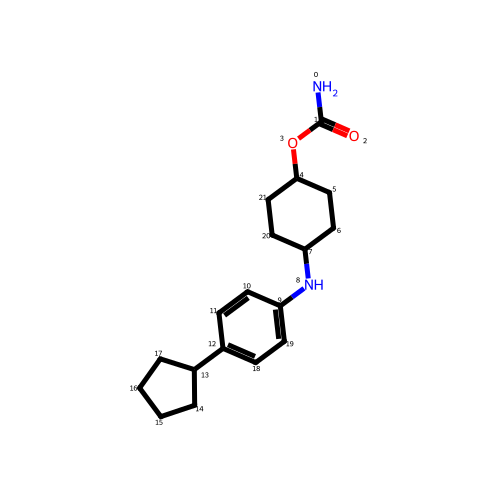 NC(=O)OC1CCC(Nc2ccc(C3CCCC3)cc2)CC1